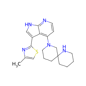 Cc1csc(-c2c[nH]c3nccc(N4CCCC5(CCCCN5)C4)c23)n1